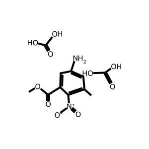 COC(=O)c1cc(N)cc(C)c1[N+](=O)[O-].O=C(O)O.O=C(O)O